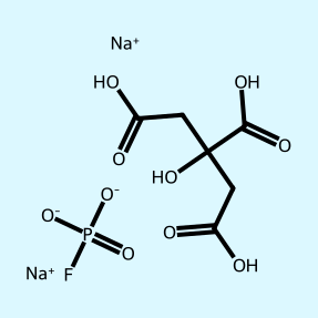 O=C(O)CC(O)(CC(=O)O)C(=O)O.O=P([O-])([O-])F.[Na+].[Na+]